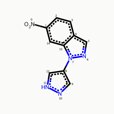 O=[N+]([O-])c1ccc2cnn(-c3cn[nH]c3)c2c1